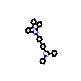 c1ccc(-c2cc(-c3ccc(-c4ccc(-c5nc(-c6ccccc6)n6c(-c7ccccc7)c7ccccc7c6n5)cc4)cc3)nc(-c3ccccc3)n2)cc1